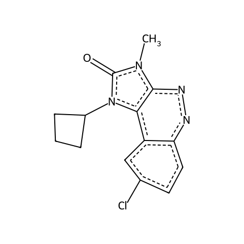 Cn1c(=O)n(C2CCC2)c2c3cc(Cl)ccc3nnc21